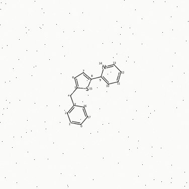 c1ccc(Cc2ccc(-c3ccccn3)s2)cc1